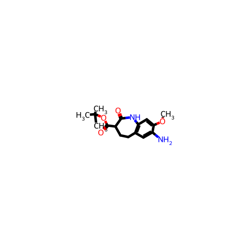 COc1cc2c(cc1N)CCC(C(=O)OC(C)(C)C)C(=O)N2